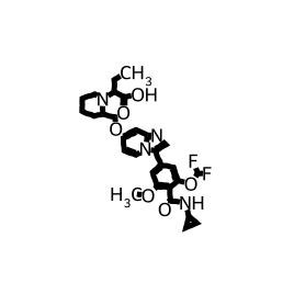 CCC(C(=O)O)N1CCCCC1COc1ccn2c(-c3cc(OC)c(C(=O)NC4CC4)c(OC(F)F)c3)cnc2c1